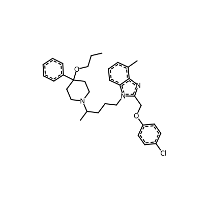 CCCOC1(c2ccccc2)CCN(C(C)CCCn2c(COc3ccc(Cl)cc3)nc3c(C)cccc32)CC1